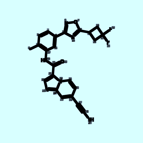 Cc1ccc(-c2noc(C3CC(F)(F)C3)n2)cc1NC(=O)c1cnc2cc(C#CS)ccn12